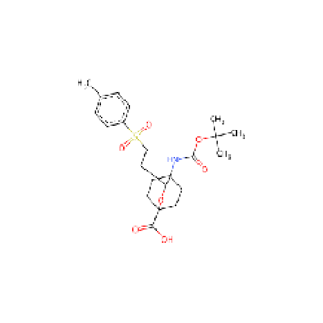 Cc1ccc(S(=O)(=O)CCC2OC3(C(=O)O)CCC2(NC(=O)OC(C)(C)C)CC3)cc1